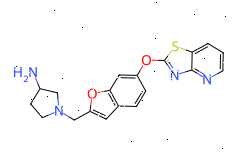 NC1CCN(Cc2cc3ccc(Oc4nc5ncccc5s4)cc3o2)C1